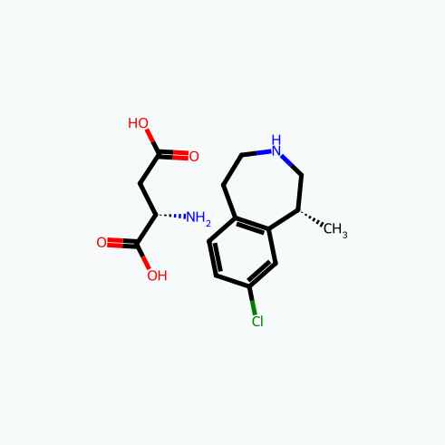 C[C@H]1CNCCc2ccc(Cl)cc21.N[C@@H](CC(=O)O)C(=O)O